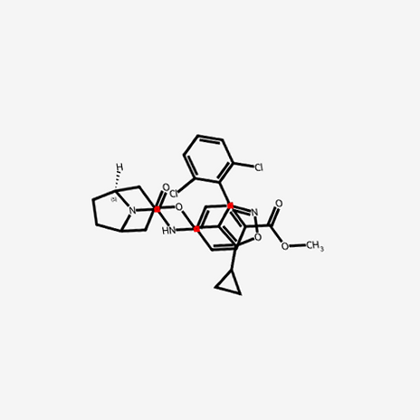 COC(=O)c1ccc(NC(=O)N2C3CC[C@H]2CC(OCc2c(-c4c(Cl)cccc4Cl)noc2C2CC2)C3)cn1